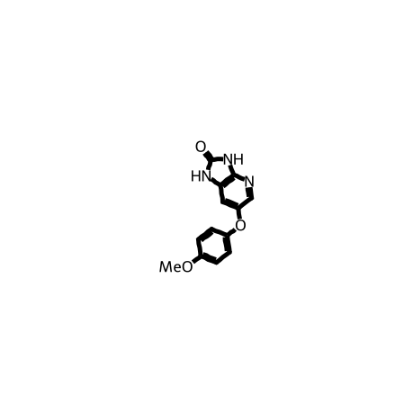 COc1ccc(Oc2cnc3[nH]c(=O)[nH]c3c2)cc1